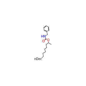 CCCCCCCCCCCCCCCCC(C)OC(=O)NCc1ccccc1